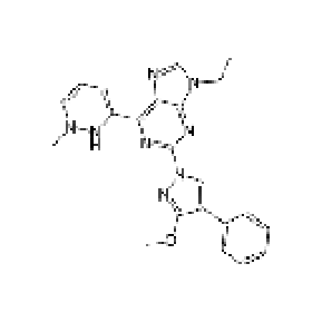 CCn1cnc2c(C3=CC=CN(C)N3)nc(-n3cc(-c4ccccc4)c(OC)n3)nc21